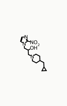 O=[N+]([O-])c1nccn1CC(O)CN1CCC(CC2CC2)CC1